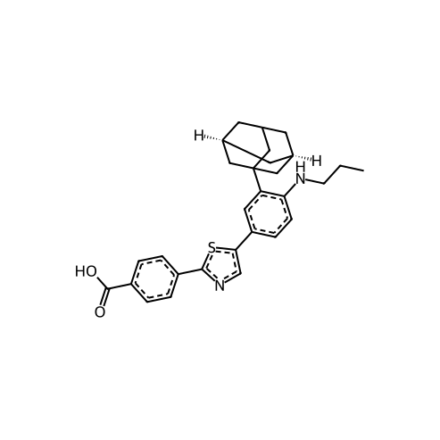 CCCNc1ccc(-c2cnc(-c3ccc(C(=O)O)cc3)s2)cc1C12CC3C[C@H](C1)C[C@@H](C3)C2